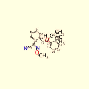 CON=C(C#N)c1ccccc1COc1ccccc1C(C)(C)C